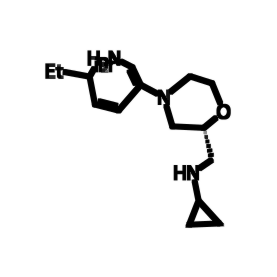 CCC(/C=C\C(=C/N)N1CCO[C@H](CNC2CC2)C1)C(C)C